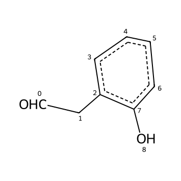 O=CCc1ccccc1O